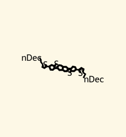 CCCCCCCCCCCCc1ccc(-c2ccc3c(c2)sc2cc4cc5c(cc4cc23)sc2cc(-c3ccc(CCCCCCCCCCCC)s3)ccc25)s1